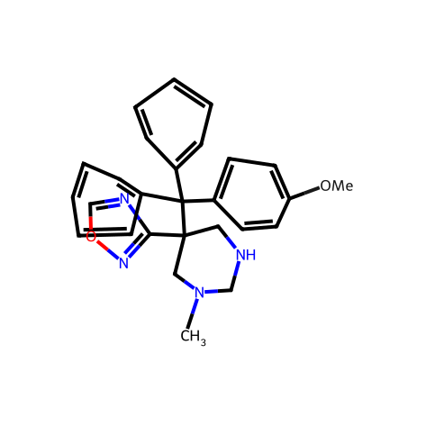 COc1ccc(C(c2ccccc2)(c2ccccc2)C2(c3ncon3)CNCN(C)C2)cc1